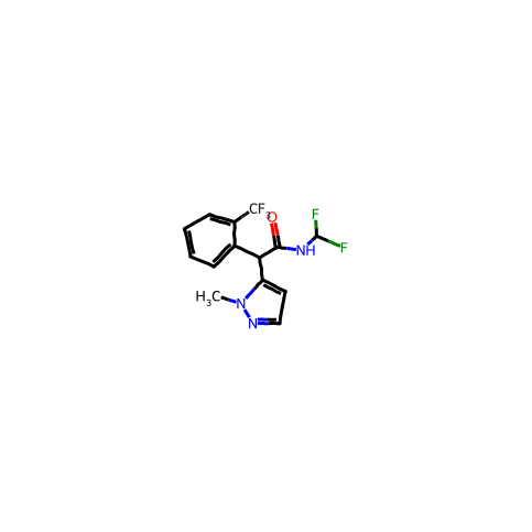 Cn1nccc1C(C(=O)NC(F)F)c1ccccc1C(F)(F)F